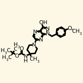 COc1ccc(Cn2nc(O)c3ncc(N4CCC(C)(NC(=O)OC(C)(C)C)CC4)nc32)cc1